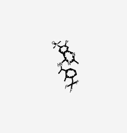 Cc1nc(NC(C)c2cccc(C(F)(F)F)c2C)c2cc(P(C)(C)=O)c(Br)cc2n1